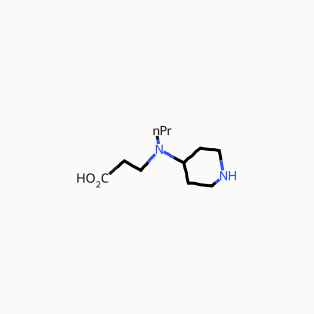 CCCN(CCC(=O)O)C1CCNCC1